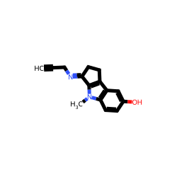 C#CCN=C1CCc2c1n(C)c1ccc(O)cc21